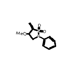 C=C1C(OC)CN(c2ccccc2)S1(=O)=O